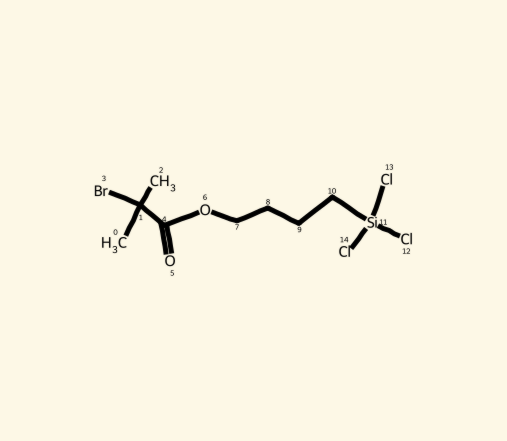 CC(C)(Br)C(=O)OCCCC[Si](Cl)(Cl)Cl